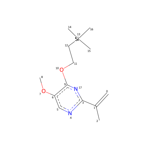 C=C(C)c1ncc(OC)c(OCC[Si](C)(C)C)n1